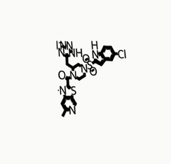 Cc1cc2c(cn1)SC(C(=O)N1CCN(S(=O)(=O)c3cc4cc(Cl)ccc4[nH]3)CC1Cc1nnn[nH]1)=[N+]2.[I-]